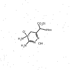 CCCCCCC(C(=O)OCC)C1=NN=C(N)[N+](N)([O-])C1.Cl